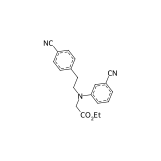 CCOC(=O)CN(CCc1ccc(C#N)cc1)c1cccc(C#N)c1